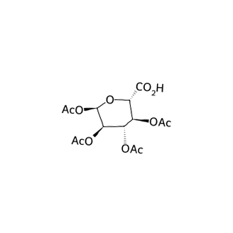 CC(=O)O[C@H]1O[C@H](C(=O)O)[C@@H](OC(C)=O)[C@H](OC(C)=O)[C@H]1OC(C)=O